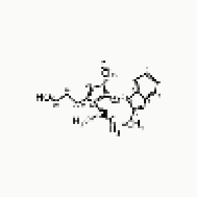 CC1=Cc2ccccc2[CH]1[Zr+2][C]1=C([SiH](C)C)C(CCCO)=CC1.[Cl-].[Cl-]